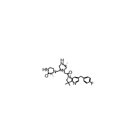 C[C@@H]1CN(CC(=O)N2CC(C)(C)c3ncc(Cc4ccc(F)cc4)cc32)[C@@H](CN2CCNC(=O)[C@H]2C)CN1